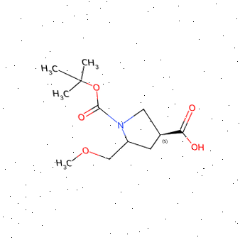 COCC1C[C@H](C(=O)O)CN1C(=O)OC(C)(C)C